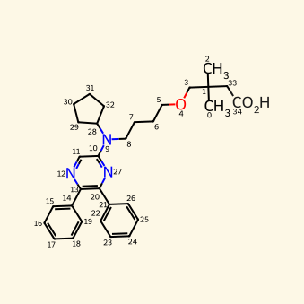 CC(C)(COCCCCN(c1cnc(-c2ccccc2)c(-c2ccccc2)n1)C1CCCC1)CC(=O)O